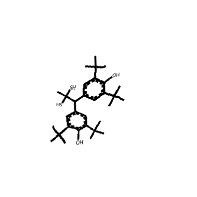 CC(C)(C)c1cc(C(c2cc(C(C)(C)C)c(O)c(C(C)(C)C)c2)C(C)(S)S)cc(C(C)(C)C)c1O